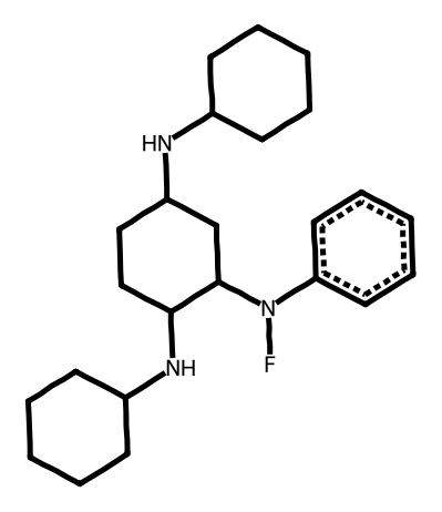 FN(c1ccccc1)C1CC(NC2CCCCC2)CCC1NC1CCCCC1